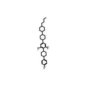 CCCCC1CCC(C2CCC(c3cc(F)c(C4CCC(c5ccc(F)cc5)CC4)c(F)c3)CC2)CC1